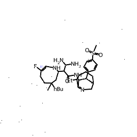 CCCCC1(C)CC/C(F)=C\NC(C(C(=O)NC2C3=NCC(CCCC3CC)C2c2ccc(S(C)(=O)=O)cc2)C(N)N)C1